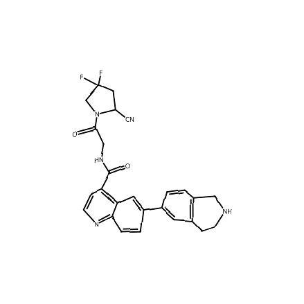 N#CC1CC(F)(F)CN1C(=O)CNC(=O)c1ccnc2ccc(-c3ccc4c(c3)CCNC4)cc12